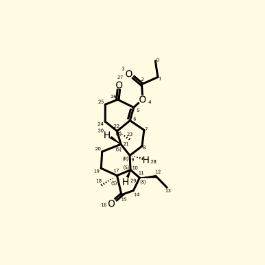 CCC(=O)OC1=C2CC[C@H]3[C@@H]4[C@@H](CC)CC(=O)[C@@]4(C)CC[C@@H]3[C@@]2(C)CCC1=O